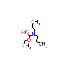 CCCN(CCC)C(O)OCC